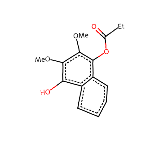 CCC(=O)Oc1c(OC)c(OC)c(O)c2ccccc12